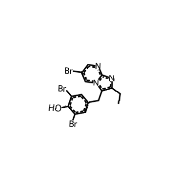 CCc1nc2ncc(Br)cn2c1Cc1cc(Br)c(O)c(Br)c1